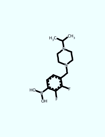 CC(C)N1CCN(Cc2ccc(B(O)O)c(F)c2F)CC1